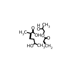 C=CC(=O)OCC(C)O.CC(=CCC(C)O)C(=O)O